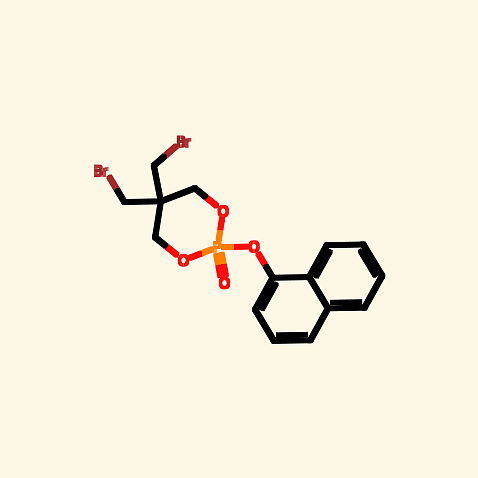 O=P1(Oc2cccc3ccccc23)OCC(CBr)(CBr)CO1